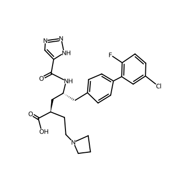 O=C(N[C@H](Cc1ccc(-c2cc(Cl)ccc2F)cc1)C[C@@H](CCN1CCC1)C(=O)O)c1cnn[nH]1